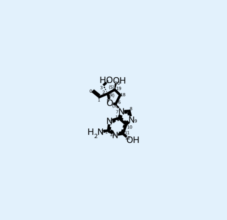 C=C[C@]1(CO)O[C@H](n2cnc3c(O)nc(N)nc32)C[C@@H]1O